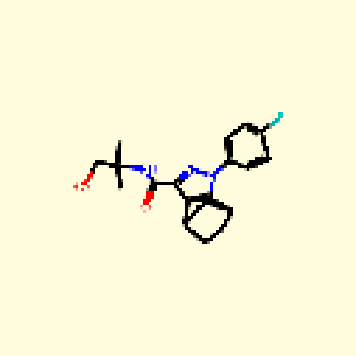 CC(C)(CO)NC(=O)c1nn(-c2ccc(F)cc2)c2c1C1CCC2CC1